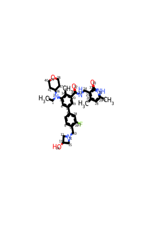 CCN(c1cc(-c2ccc(CN3CC(O)C3)c(F)c2)cc(C(=O)NCc2c(C)cc(C)[nH]c2=O)c1C)C1CCOCC1